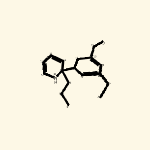 CCCC1(C2C=C(CC)C=C(CC)C2)C=CC=CN1